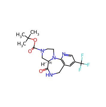 CC(C)(C)OC(=O)N1CCN2c3ncc(C(F)(F)F)cc3CNC(=O)[C@H]2C1